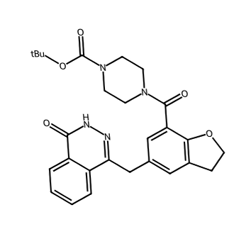 CC(C)(C)OC(=O)N1CCN(C(=O)c2cc(Cc3n[nH]c(=O)c4ccccc34)cc3c2OCC3)CC1